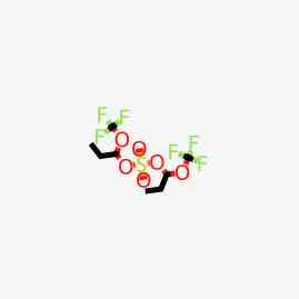 CCC(OC(F)(F)F)OS(=O)(=O)OC(CC)OC(F)(F)F